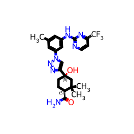 Cc1cc(Nc2nccc(C(F)(F)F)n2)cc(-n2cc([C@@]3(O)CC[C@H](C(N)=O)C(C)(C)C3)nn2)c1